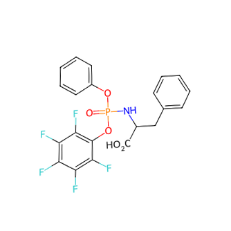 O=C(O)C(Cc1ccccc1)NP(=O)(Oc1ccccc1)Oc1c(F)c(F)c(F)c(F)c1F